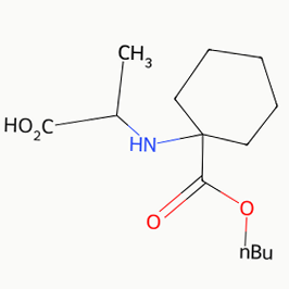 CCCCOC(=O)C1(NC(C)C(=O)O)CCCCC1